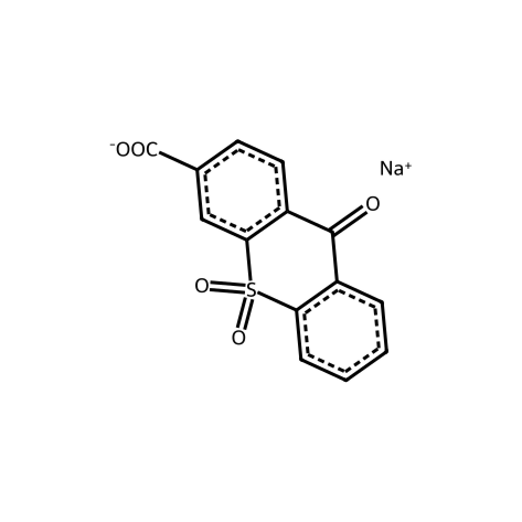 O=C([O-])c1ccc2c(c1)S(=O)(=O)c1ccccc1C2=O.[Na+]